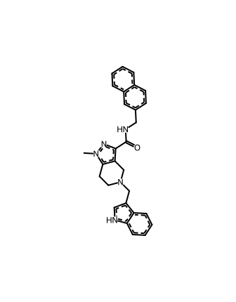 Cn1nc(C(=O)NCc2ccc3ccccc3c2)c2c1CCN(Cc1c[nH]c3ccccc13)C2